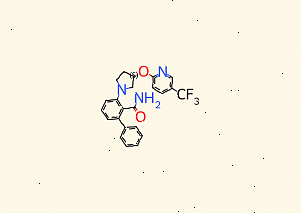 NC(=O)c1c(-c2ccccc2)cccc1N1CC[C@H](Oc2ccc(C(F)(F)F)cn2)C1